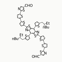 CCCCC(CC)Cc1ccc(-c2c3nc(-c4ccc(-c5ccc(-c6ncc(C=O)s6)s5)s4)sc3c(-c3ccc(CC(CC)CCCC)s3)c3nc(-c4ccc(-c5ccc(-c6ncc(C=O)s6)s5)s4)sc23)s1